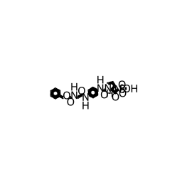 O=C(CNC(=O)OCc1ccccc1)Nc1ccc(NC(=O)N2CCC3[C@H]2C(=O)N3S(=O)(=O)O)cc1